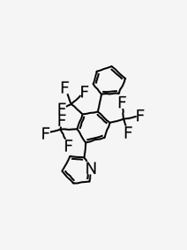 FC(F)(F)c1cc(-c2ccccn2)c(C(F)(F)F)c(C(F)(F)F)c1-c1ccccc1